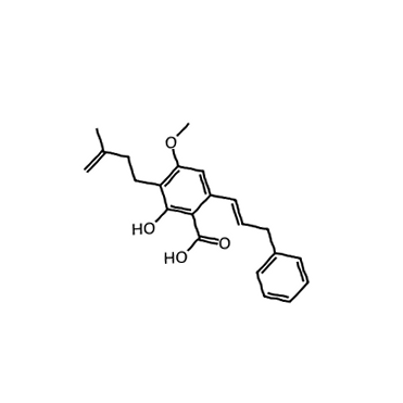 C=C(C)CCc1c(OC)cc(/C=C/Cc2ccccc2)c(C(=O)O)c1O